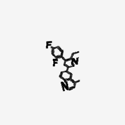 CCc1ncc(-c2ccc3nccc(C)c3c2)cc1-c1ccc(F)cc1F